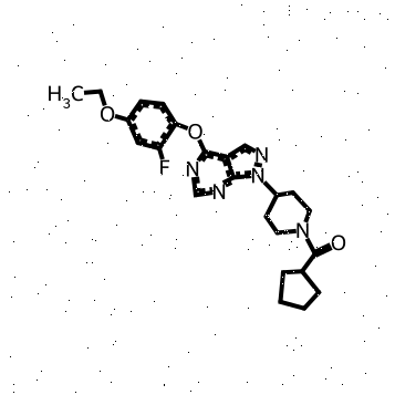 CCOc1ccc(Oc2ncnc3c2cnn3C2CCN(C(=O)C3CCCC3)CC2)c(F)c1